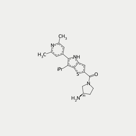 Cc1cc(-c2[nH]c3cc(C(=O)N4CC[C@@H](N)C4)sc3c2C(C)C)cc(C)n1